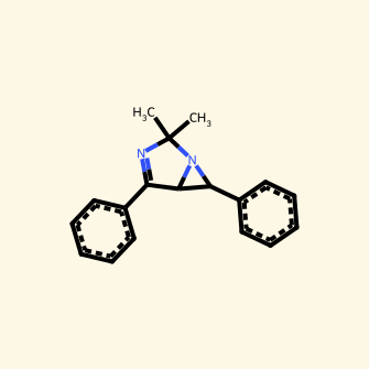 CC1(C)N=C(c2ccccc2)C2C(c3ccccc3)N21